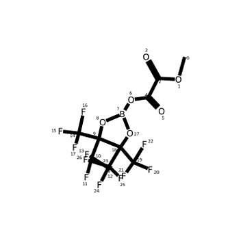 COC(=O)C(=O)OB1OC(C(F)(F)F)(C(F)(F)F)C(C(F)(F)F)(C(F)(F)F)O1